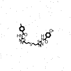 COc1ccc(C(=O)Nc2nnc(CCSCCc3nnc(NC(=O)c4ccc(C)cc4)s3)s2)cc1